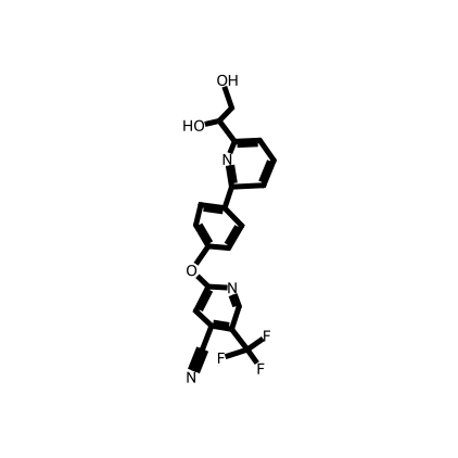 N#Cc1cc(Oc2ccc(-c3cccc(C(O)CO)n3)cc2)ncc1C(F)(F)F